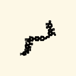 COc1cc(OCCN2CCN(c3ccc(-c4cnc5[nH]cc(C(=O)c6c(F)ccc(NS(=O)(=O)N7CC[C@@H](F)C7)c6F)c5c4)cc3)CC2)cc2c1C(=O)N(C1CCC(=O)NC1=O)C2